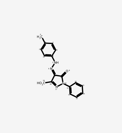 Cc1ccc(N/N=C2\C(=O)N(c3ccccc3)N=C2C(=O)O)cc1